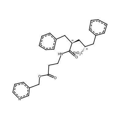 CCOC(=O)[C@@H](Cc1ccccc1)C[C@H](Cc1ccccc1)C(=O)NCCC(=O)OCc1cccnc1